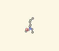 c1ccc(-c2cccc(N(c3ccc4cc(-c5ccc6ccc(-c7ccccc7)cc6c5)ccc4c3)c3ccc4c(c3)oc3ccccc34)c2)cc1